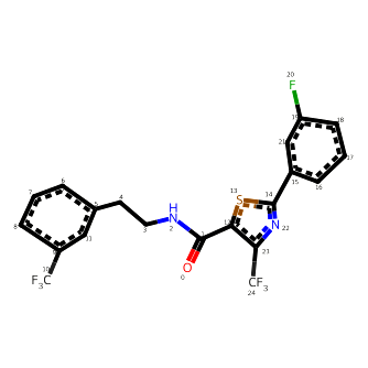 O=C(NCCc1cccc(C(F)(F)F)c1)c1sc(-c2cccc(F)c2)nc1C(F)(F)F